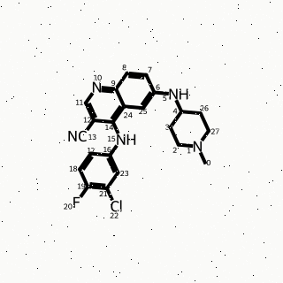 CN1CCC(Nc2ccc3ncc(C#N)c(Nc4ccc(F)c(Cl)c4)c3c2)CC1